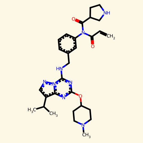 C=CC(=O)N(C(=O)C1CCNC1)c1cccc(CNc2nc(OC3CCN(C)CC3)nc3c(C(C)C)cnn23)c1